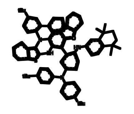 CC(C)(C)c1ccc(N(c2ccc(C(C)(C)C)cc2)c2ccc(Nc3ccc4c(c3)C(C)(C)CCC4(C)C)c(-c3c4c(cc5c3oc3ccccc35)N(c3ccc(C(C)(C)C)cc3-c3ccccc3)c3c(sc5ccccc35)B4)c2)cc1